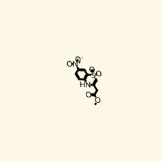 COC(=O)CC1=CS(=O)(=O)c2cc([N+](=O)[O-])ccc2N1